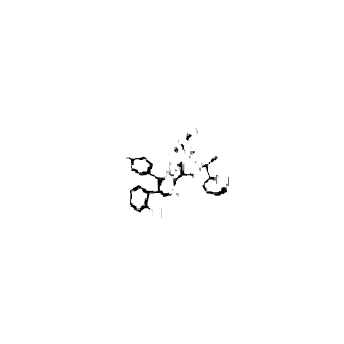 CC(NC(=O)c1c(N(C)S(C)(=O)=O)nn2c(-c3ccc(Cl)cc3)c(-c3ccccc3Cl)cnc12)c1ccccn1